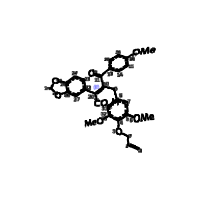 C=CCOc1c(OC)cc(C/C(C(=O)c2ccc(OC)cc2)=C(\C(=O)O)c2ccc3c(c2)OCO3)cc1OC